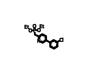 CCOP(=O)(Cc1ccc(-c2cccc(Cl)c2)cn1)OCC